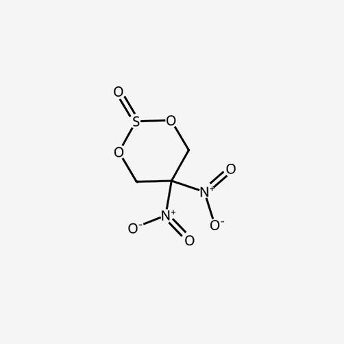 O=[N+]([O-])C1([N+](=O)[O-])COS(=O)OC1